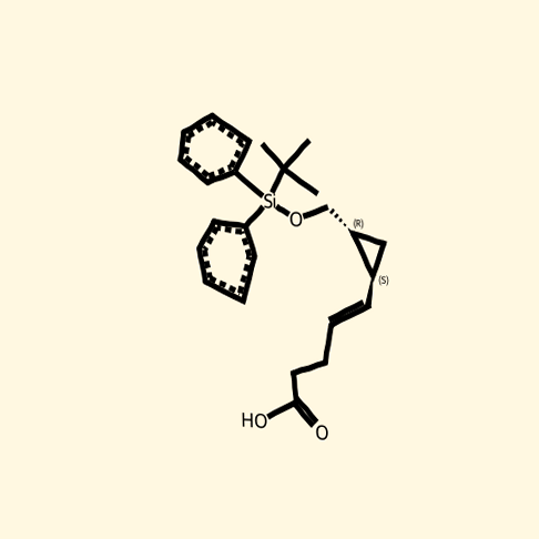 CC(C)(C)[Si](OC[C@@H]1C[C@H]1C=CCCC(=O)O)(c1ccccc1)c1ccccc1